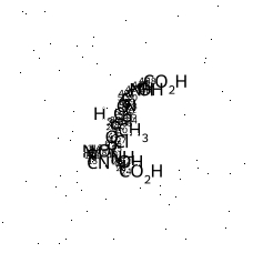 Cc1c(COc2cc(OCc3cncc(C#N)c3)c(CNC[C@@H](O)CC(=O)O)cc2Cl)cccc1-c1cccc(-c2nc3cc(CNC[C@@H](O)CC(=O)O)ccc3o2)c1C